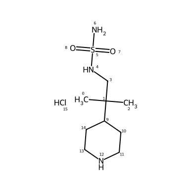 CC(C)(CNS(N)(=O)=O)C1CCNCC1.Cl